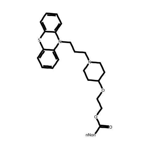 CCCCCCCCCC(=O)OCCOC1CCN(CCCN2c3ccccc3Sc3ccccc32)CC1